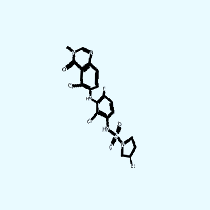 CC[C@@H]1CCN(S(=O)(=O)Nc2ccc(F)c(Nc3ccc4ncn(C)c(=O)c4c3Cl)c2Cl)C1